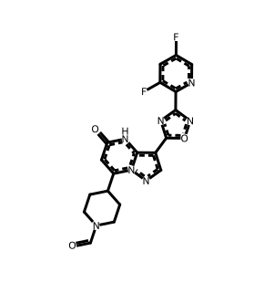 O=CN1CCC(c2cc(=O)[nH]c3c(-c4nc(-c5ncc(F)cc5F)no4)cnn23)CC1